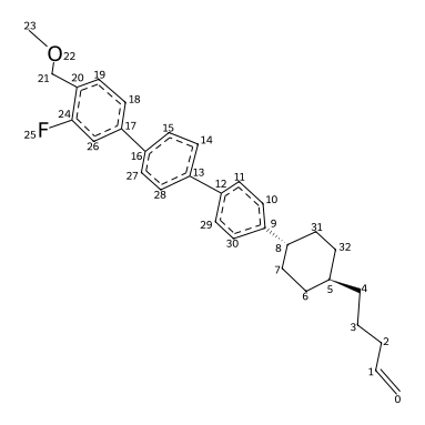 C=CCCC[C@H]1CC[C@H](c2ccc(-c3ccc(-c4ccc(COC)c(F)c4)cc3)cc2)CC1